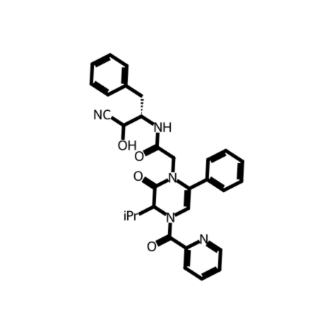 CC(C)C1C(=O)N(CC(=O)N[C@@H](Cc2ccccc2)C(O)C#N)C(c2ccccc2)=CN1C(=O)c1ccccn1